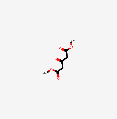 CCCCOC(=O)CC(=O)CC(=O)OCCCC